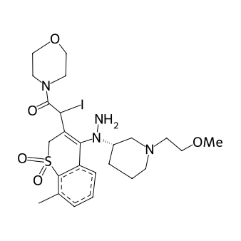 COCCN1CCC[C@H](N(N)C2=C(C(I)C(=O)N3CCOCC3)CS(=O)(=O)c3c(C)cccc32)C1